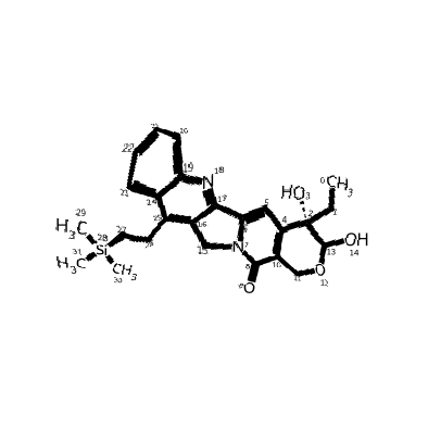 CC[C@]1(O)c2cc3n(c(=O)c2COC1O)Cc1c-3nc2ccccc2c1CC[Si](C)(C)C